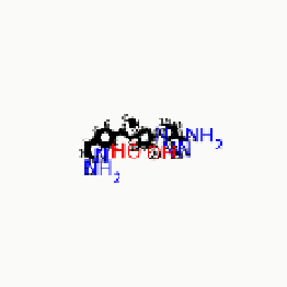 C#C[C@]1(CCc2ccc3ccc(N)nc3c2)C[C@@H](n2ccc3c(N)ncnc32)[C@H](O)[C@@H]1O